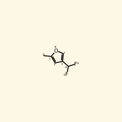 Cc1cc(C(F)F)co1